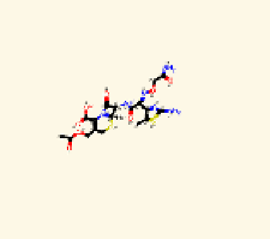 CC(=O)OCC1=C(C(=O)O)N2C(=O)[C@@H](NC(=O)C(=NOCC(N)=O)c3nc(N)sc3C)[C@H]2SC1